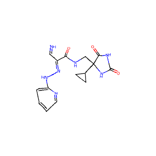 N=C/C(=N\Nc1ccccn1)C(=O)NCC1(C2CC2)NC(=O)NC1=O